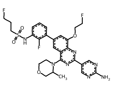 CC1COCCN1c1nc(-c2cnc(N)nc2)nc2c(OCCF)cc(-c3cccc(NS(=O)(=O)CCCF)c3F)cc12